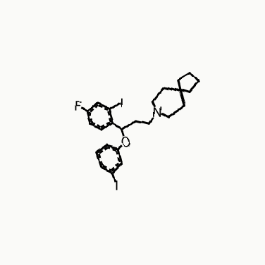 Fc1ccc(C(CCN2CCC3(CCCC3)CC2)Oc2cccc(I)c2)c(I)c1